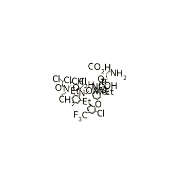 C=CCN(CC=C)C(=O)C(Cl)Cl.CCOc1cc(Oc2ccc(C(F)(F)F)cc2Cl)ccc1[N+](=O)[O-].CCc1cccc(CC)c1N(COC)C(=O)CCl.CP(=O)(O)CCC(N)C(=O)O